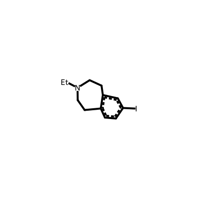 CCN1CCc2ccc(I)cc2CC1